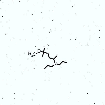 CCCN(CCC)C(C)CCC(C)(C)O[SiH3]